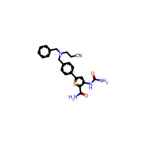 N#CCCN(Cc1ccccc1)Cc1ccc(-c2cc(NC(N)=O)c(C(N)=O)s2)cc1